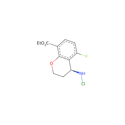 CCOC(=O)c1ccc(F)c2c1OCC[C@@H]2NCl